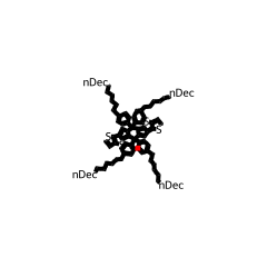 CCCCCCCCCCCCCCCCc1ccc(C2(c3ccc(CCCCCCCCCCCCCCCC)cc3)C3=Cc4c5c(sc4=C3C(c3ccc(CCCCCCCCCCCCCCCC)cc3)(c3ccc(CCCCCCCCCCCCCCCC)cc3)C3C=c4c(sc6ccsc46)=C32)=CCS5)cc1